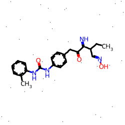 CCC(C=NO)C(=N)C(=O)Cc1ccc(NC(=O)Nc2ccccc2C)cc1